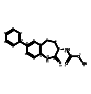 CC(C)(C)OC(=O)N[C@H]1CCc2cc(-c3ccccc3)ccc2NC1=O